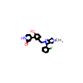 CN1Cc2nn(Cc3ccc(O)c(-c4cc[nH]c(=O)c4)c3)c(-c3ccccc3F)c2C1